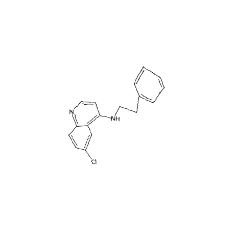 Clc1ccc2nccc(NCCc3ccccc3)c2c1